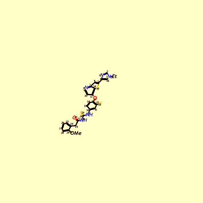 CCn1cnc(-c2cc3nccc(Oc4ccc(NC(=S)NC(=O)Cc5ccccc5OC)cc4F)c3s2)c1